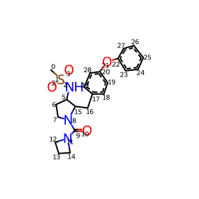 CS(=O)(=O)NC1CCN(C(=O)N2CCC2)C1Cc1ccc(Oc2ccccc2)cc1